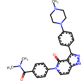 CN1CCN(c2ccc(-c3n[nH]c4ccn(-c5ccc(C(=O)N(C)C)cc5)c(=O)c34)cc2)CC1